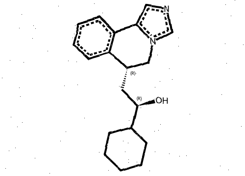 O[C@H](C[C@H]1Cn2cncc2-c2ccccc21)C1CCCCC1